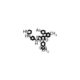 CC(=O)C1CCC(c2cc(C)ccc2-c2cc3cnc(Nc4ccc(NC5CCCNC5)cc4)nc3n(C3CCC(S(C)(=O)=O)CC3)c2=O)CC1